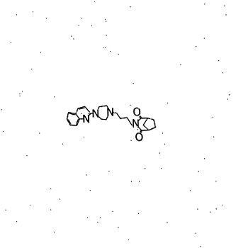 O=C1C2CCC(C2)C(=O)N1CCCCN1CCN(c2ccc3ccccc3n2)CC1